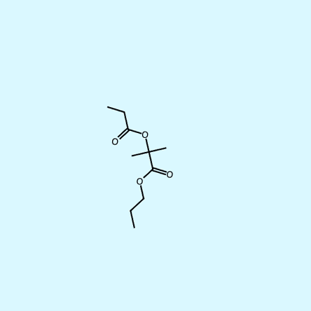 CCCOC(=O)C(C)(C)OC(=O)CC